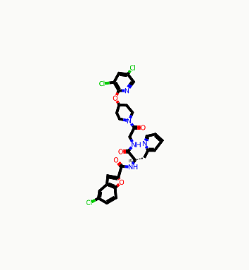 O=C(N[C@@H](Cc1ccccn1)C(=O)NCC(=O)N1CCC(Oc2ncc(Cl)cc2Cl)CC1)c1cc2cc(Cl)ccc2o1